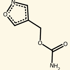 NC(=O)OCc1cnoc1